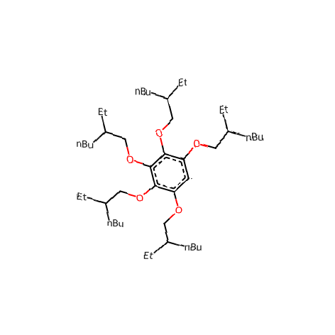 CCCCC(CC)COc1[c]c(OCC(CC)CCCC)c(OCC(CC)CCCC)c(OCC(CC)CCCC)c1OCC(CC)CCCC